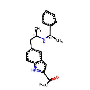 COC(=O)c1cc2cc(C[C@@H](C)N[C@H](C)c3ccccc3)ccc2[nH]1